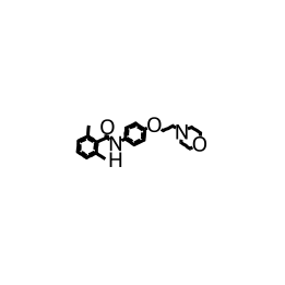 Cc1cccc(C)c1C(=O)Nc1ccc(OCCN2CCOCC2)cc1